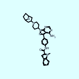 CN1C2CCC1CC(N1CCC(n3nc(-c4ccc(NC(=O)c5cc6ccccc6n5C)cc4)c4c(N)ncnc43)CC1)C2